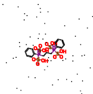 O=S(=O)(O)[PH](CCC[PH](c1ccccc1)(S(=O)(=O)O)S(=O)(=O)O)(c1ccccc1)S(=O)(=O)O